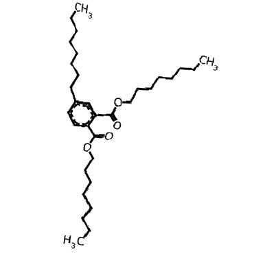 CCCCCCCCOC(=O)c1ccc(CCCCCCCC)cc1C(=O)OCCCCCCCC